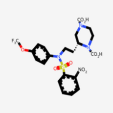 O=C(O)N1CCN(C(=O)O)[C@H](CCN(c2ccc(OC(F)(F)F)cc2)S(=O)(=O)c2ccccc2[N+](=O)[O-])C1